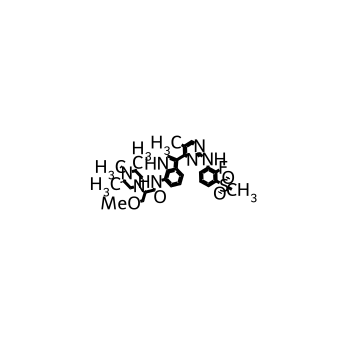 COCC(C(=O)Nc1cccc2c(-c3nc(Nc4cccc(S(C)(=O)=O)c4F)ncc3C)c[nH]c12)N1C[C@H](C)N(C)[C@@H](C)C1